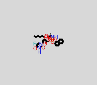 CCCCCCOC(=O)[C@H](C)NP(=O)(OC[C@H]1O[C@@H](n2cc(F)c(=O)[nH]c2=O)C[C@H]1O)Oc1cccc2ccccc12